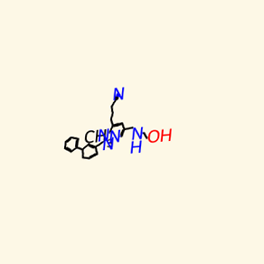 CC1=C(c2nc3c(CCCC#N)cc(CNCCO)cn3n2)C=CCC1c1ccccc1